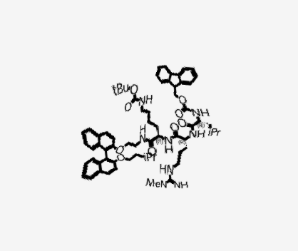 CNC(=N)NCCC[C@@H](NC(=O)[C@@H](CC(C)C)NC(=O)OCC1c2ccccc2-c2ccccc21)C(=O)N[C@H](CCCCNC(=O)OC(C)(C)C)C(=O)NCCOc1ccc2ccccc2c1-c1c(OCCC(C)C)ccc2ccccc12